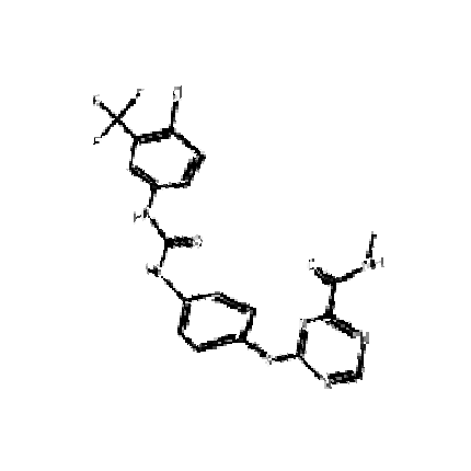 CNC(=O)c1ncnc(Sc2ccc(NC(=O)Nc3ccc(Cl)c(C(F)(F)F)c3)cc2)n1